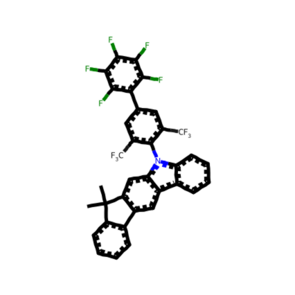 CC1(C)c2ccccc2-c2cc3c4ccccc4n(-c4c(C(F)(F)F)cc(-c5c(F)c(F)c(F)c(F)c5F)cc4C(F)(F)F)c3cc21